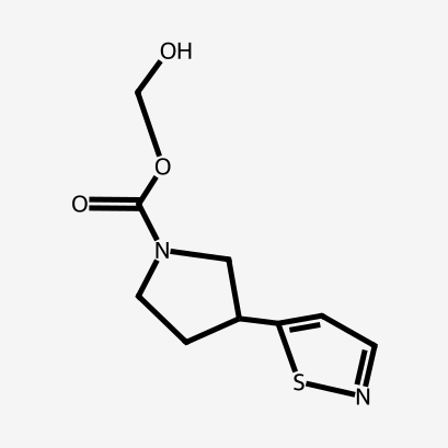 O=C(OCO)N1CCC(c2ccns2)C1